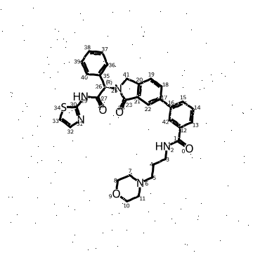 O=C(NCCCN1CCOCC1)c1cccc(-c2ccc3c(c2)C(=O)N([C@@H](C(=O)Nc2nccs2)c2ccccc2)C3)c1